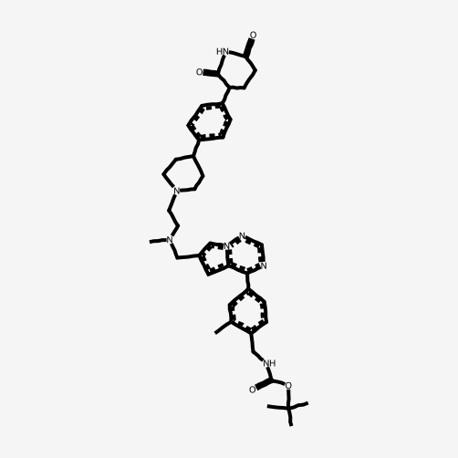 Cc1cc(-c2ncnn3cc(CN(C)CCN4CCC(c5ccc(C6CCC(=O)NC6=O)cc5)CC4)cc23)ccc1CNC(=O)OC(C)(C)C